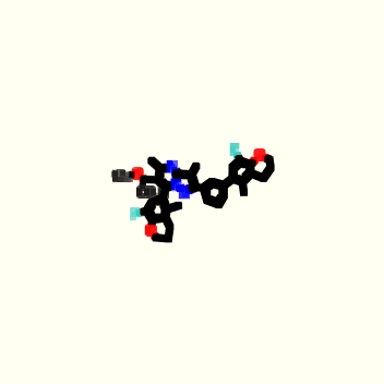 Cc1nc2c(C)c(-c3cccc(-c4cc(F)c5c(c4C)CCCO5)c3)nn2c(-c2cc(F)c3c(c2C)CCCO3)c1[C@H](OC(C)(C)C)C(=O)O